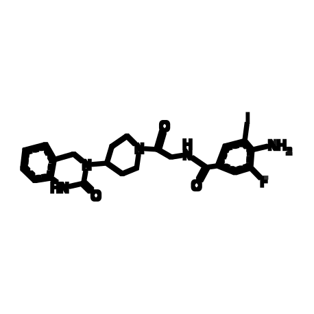 Nc1c(F)cc(C(=O)NCC(=O)N2CCC(N3Cc4ccccc4NC3=O)CC2)cc1I